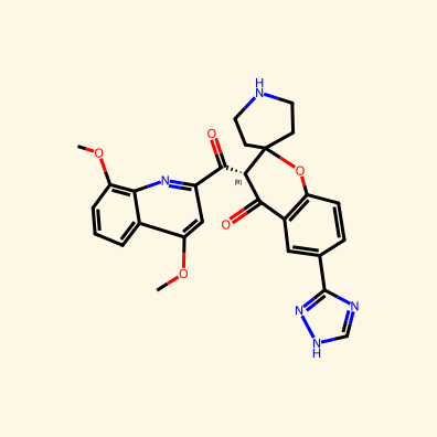 COc1cc(C(=O)[C@H]2C(=O)c3cc(-c4nc[nH]n4)ccc3OC23CCNCC3)nc2c(OC)cccc12